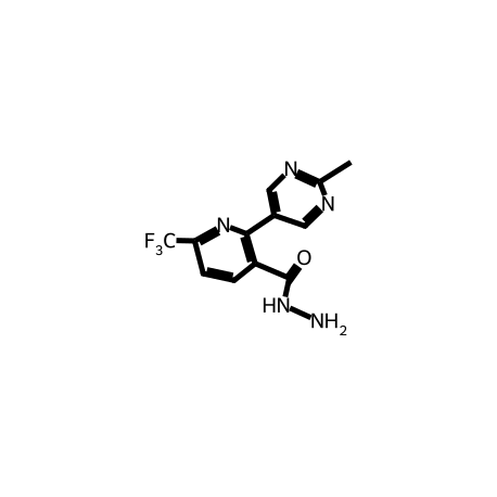 Cc1ncc(-c2nc(C(F)(F)F)ccc2C(=O)NN)cn1